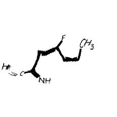 C/C=C\C(F)=C/C(C)=N